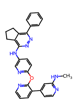 CNc1cc(-c2cccnc2Oc2ccc(Nc3nnc(-c4ccccc4)c4c3CCC4)cn2)ccn1